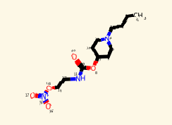 CCCCN1CCC(OC(=O)NCCO[N+](=O)[O-])CC1